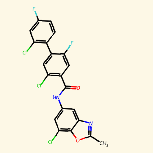 Cc1nc2cc(NC(=O)c3cc(F)c(-c4ccc(F)cc4Cl)cc3Cl)cc(Cl)c2o1